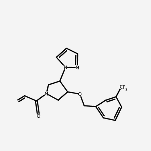 C=CC(=O)N1CC(OCc2cccc(C(F)(F)F)c2)C(n2cccn2)C1